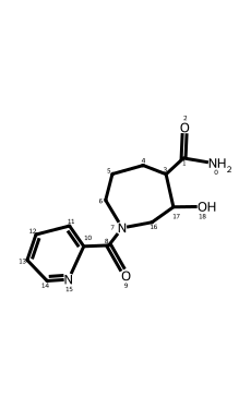 NC(=O)C1CCCN(C(=O)c2ccccn2)CC1O